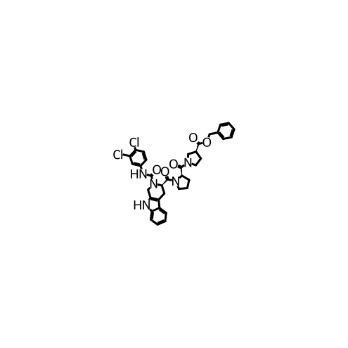 O=C(OCc1ccccc1)[C@H]1CCN(C(=O)[C@H]2CCCN2C(=O)[C@H]2Cc3c([nH]c4ccccc34)CN2C(=O)Nc2ccc(Cl)c(Cl)c2)C1